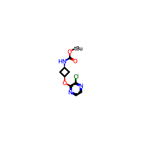 CC(C)(C)OC(=O)N[C@H]1C[C@@H](Oc2nccnc2Cl)C1